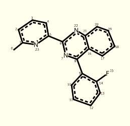 Cc1cccc(-c2nc(-c3ccccc3F)c3ccccc3n2)n1